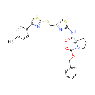 Cc1ccc(-c2csc(SCc3csc(NC(=O)[C@@H]4CCCN4C(=O)OCc4ccccc4)n3)n2)cc1